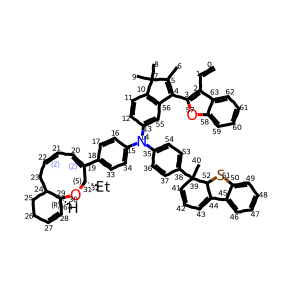 C=Cc1c(C2=C(C)C(C)(C)c3ccc(N(c4ccc(/C5=C/C=C\CC6CCC=C[C@@H]6O[C@H]5CC)cc4)c4ccc(C5(C)C=CC=C6c7ccccc7SC65)cc4)cc32)oc2ccccc12